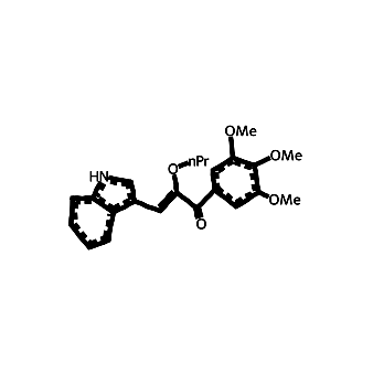 CCCO/C(=C\c1c[nH]c2ccccc12)C(=O)c1cc(OC)c(OC)c(OC)c1